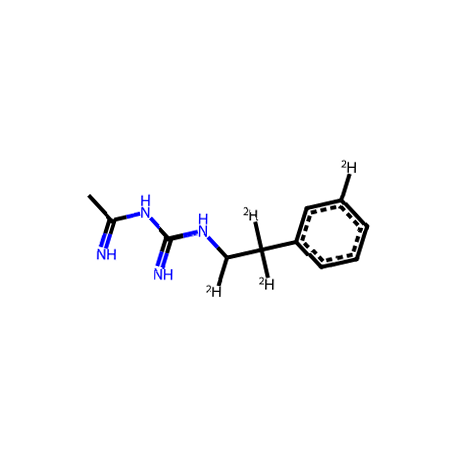 [2H]c1cccc(C([2H])([2H])C([2H])NC(=N)NC(C)=N)c1